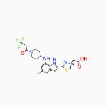 Cc1cc(NC2CCN(C(=O)CC(F)(F)F)CC2)c2[nH]c(C3=N[C@@H](CC(=O)O)CS3)cc2c1